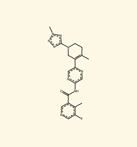 CC1=C(c2cnc(NC(=O)c3cncc(F)c3C)cn2)CN(c2nnn(C)n2)CC1